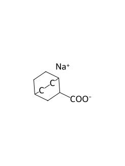 O=C([O-])C1CC2CCC1CC2.[Na+]